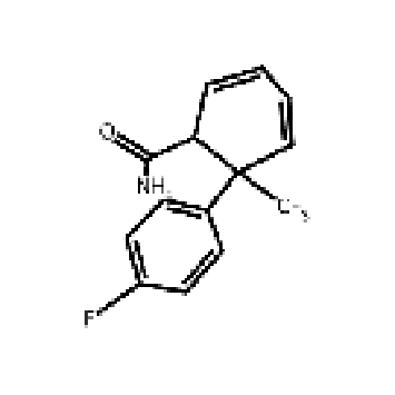 NC(=O)C1C=CC=CC1(c1ccc(F)cc1)C(F)(F)F